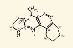 CCc1ccc2c(c1N=C1NCCN1)CCCC2